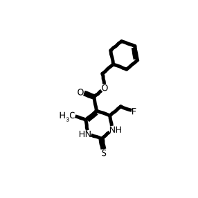 CC1=C(C(=O)OCC2CC=CCC2)C(CF)NC(=S)N1